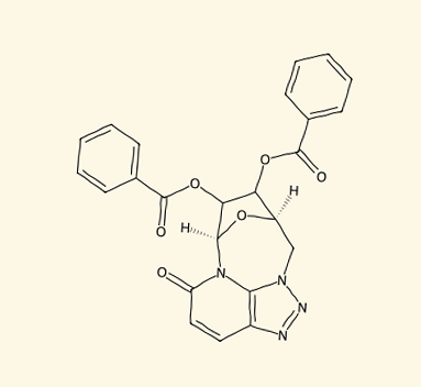 O=C(OC1C(OC(=O)c2ccccc2)[C@H]2Cn3nnc4ccc(=O)n(c43)[C@@H]1O2)c1ccccc1